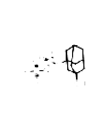 O=S(=O)(NS(=O)(=O)C(F)(F)F)OC12CC3CC(CC(O)(C3)C1)C2